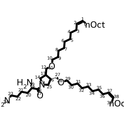 CCCCCCCC/C=C\CCCCCCCCOCC1CN(C(=O)[C@@H](N)CCCCN)C[C@H]1COCCCCCCCC/C=C\CCCCCCCC